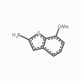 Bc1cc2cccc(OC)c2s1